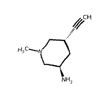 C#C[C@@H]1C[C@@H](N)CN(C)C1